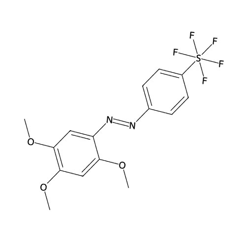 COc1cc(OC)c(OC)cc1N=Nc1ccc(S(F)(F)(F)(F)F)cc1